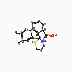 Cc1ccc(C23SCCCN2C(=O)c2ccccc23)cc1C